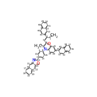 C=C/C(=C\C1=C(C)N(c2ccc(-c3nc4cc5ccccc5cc4o3)cc2)c2ccc(-c3ccc4ccccc4c3)cc2O1)c1ccc2ccccc2c1